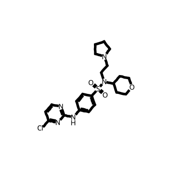 O=S(=O)(c1ccc(Nc2nccc(Cl)n2)cc1)N(CCN1CCCC1)C1CCOCC1